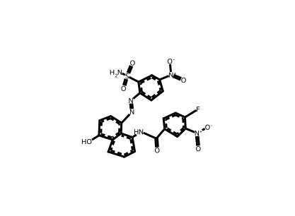 NS(=O)(=O)c1cc([N+](=O)[O-])ccc1N=Nc1ccc(O)c2cccc(NC(=O)c3ccc(F)c([N+](=O)[O-])c3)c12